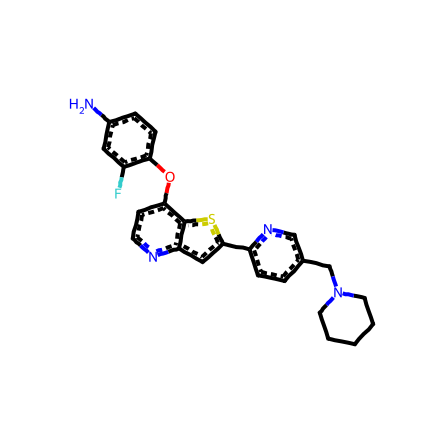 Nc1ccc(Oc2ccnc3cc(-c4ccc(CN5CCCCC5)cn4)sc23)c(F)c1